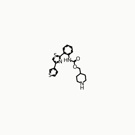 O=C(Nc1ccccc1-c1nc(-c2ccsc2)cs1)OCC1CCNCC1